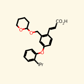 CC(C)c1ccccc1Oc1ccc(C=CC(=O)O)c(COC2CCCCO2)c1